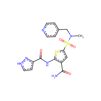 CN(Cc1ccncc1)S(=O)(=O)c1cc(C(N)=O)c(NC(=O)c2cc[nH]n2)s1